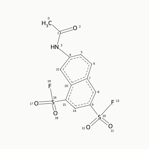 CC(=O)Nc1ccc2cc(S(=O)(=O)F)cc(S(=O)(=O)F)c2c1